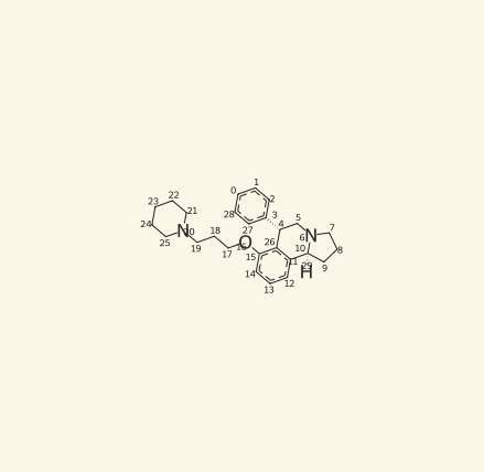 c1ccc([C@@H]2CN3CCC[C@H]3c3cccc(OCCCN4CCCCC4)c32)cc1